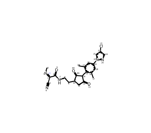 C/N=C(/C#N)C(=O)NCCC1CC(=O)C(c2c(C)cc(-n3cc(Cl)cn3)cc2C)C1=O